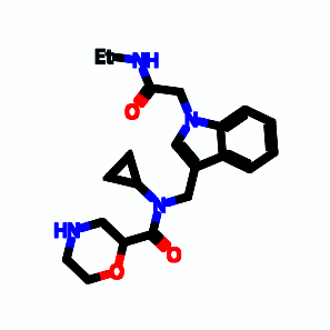 CCNC(=O)Cn1cc(CN(C(=O)C2CNCCO2)C2CC2)c2ccccc21